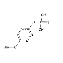 CCC(C)Oc1ccc(OP(O)(O)=S)nn1